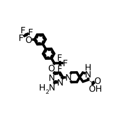 Nc1nc(OC(c2ccc(-c3cccc(OC(F)(F)F)c3)cc2)C(F)(F)F)cc(N2CCC3(CC2)CN[C@H](C(=O)O)C3)n1